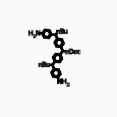 CCCCCCCCCCC(c1ccc(C(CCCC)c2ccc(N)cc2)cc1)c1ccc(C(CCCC)c2ccc(N)cc2)cc1